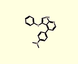 CN(C)c1ccc(-c2ccnc3[nH]cc(Sc4ccccc4)c23)cc1